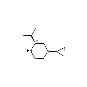 CC(C)[C@H]1CN(C2CC2)CCN1